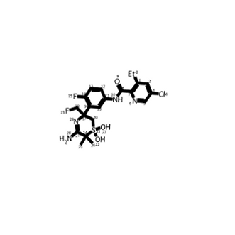 CCc1cc(Cl)cnc1C(=O)Nc1ccc(F)c(C2(CF)CS(O)(O)C(C)(C)C(N)=N2)c1